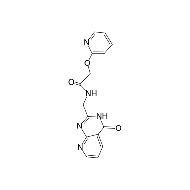 O=C(COc1ccccn1)NCc1nc2ncccc2c(=O)[nH]1